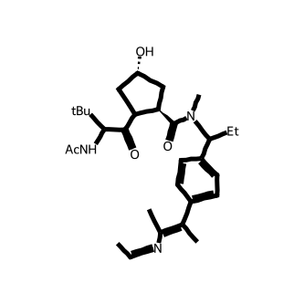 C/C=N\C(C)=C(/C)c1ccc(C(CC)N(C)C(=O)[C@@H]2C[C@@H](O)CC2C(=O)C(NC(C)=O)C(C)(C)C)cc1